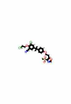 CC(C)(c1ccc(OCCc2ocnc2S(C)(=O)=O)cc1)c1cc(Cl)c(OCCCl)c(C#N)c1